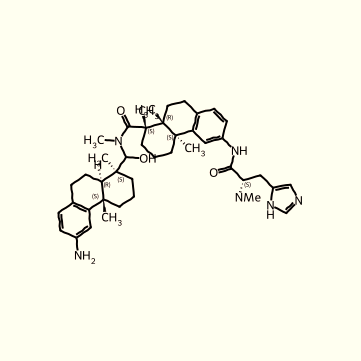 CN[C@@H](Cc1cnc[nH]1)C(=O)Nc1ccc2c(c1)[C@@]1(C)CCC[C@](C)(C(=O)N(C)C(O)[C@@]3(C)CCC[C@]4(C)c5cc(N)ccc5CC[C@H]43)[C@]1(C)CC2